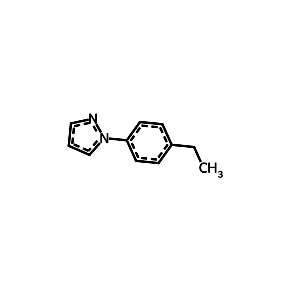 CCc1ccc(-n2cccn2)cc1